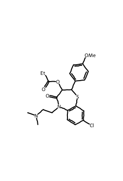 CCC(=O)OC1C(=O)N(CCN(C)C)c2ccc(Cl)cc2SC1c1ccc(OC)cc1